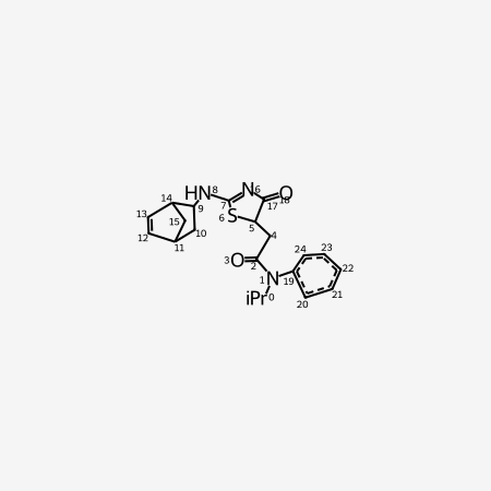 CC(C)N(C(=O)CC1SC(NC2CC3C=CC2C3)=NC1=O)c1ccccc1